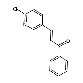 O=C(C=Cc1ccc(Cl)nc1)c1ccccc1